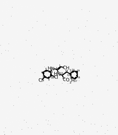 CC=C(Nc1ccc(Cl)cc1Cl)NC(Cc1ccccc1)C(=O)O